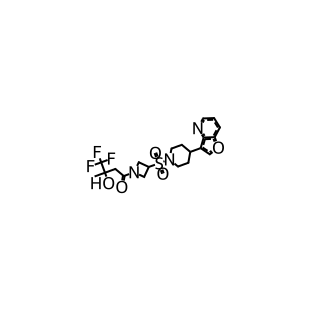 CC(O)(CC(=O)N1CC(S(=O)(=O)N2CCC(c3coc4cccnc34)CC2)C1)C(F)(F)F